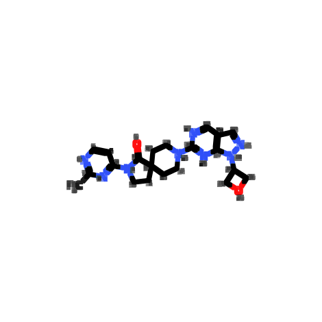 O=C1N(c2ccnc(C(F)(F)F)n2)CCC12CCN(c1ncc3cnn(C4COC4)c3n1)CC2